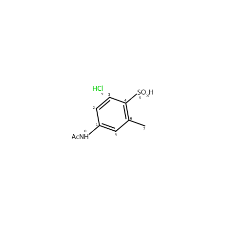 CC(=O)Nc1ccc(S(=O)(=O)O)c(C)c1.Cl